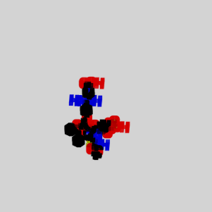 Cc1sc(NC(=O)OC(C)(C)C)nc1/C(=N/OC(COc1ccc(C(=N)NC2CCN(C(=O)O)CC2)cc1)C(=O)OC(c1ccccc1)c1ccccc1)C(=O)N[C@@H]1C(=O)N(OS(=O)(=O)O)C1(C)C